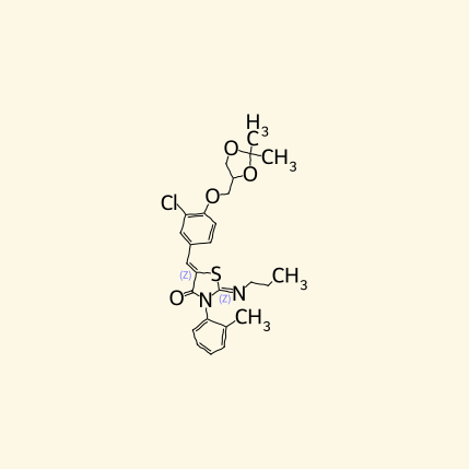 CCC/N=C1\S/C(=C\c2ccc(OCC3COC(C)(C)O3)c(Cl)c2)C(=O)N1c1ccccc1C